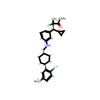 COC(=O)C(C)(F)[C@H](c1cccc(NC[C@H]2CC[C@H](c3cc(OC)ccc3F)CC2)c1)C1CC1